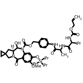 C=CCOC(=O)NC(C(=O)NC(C)C(=O)Nc1ccc(COC(=O)N2c3cc(O[Si](C(C)C)(C(C)C)C(C)C)c(OC)cc3C(=O)N3CC4(CC4)C[C@H]3C2O)cc1)C(C)C